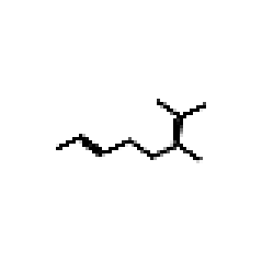 CC=CC[CH]C(C)=C(C)C